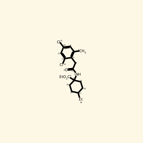 CCOC(=O)C1(NC(=O)Cc2c(C)cc(Cl)cc2Cl)CCC(CC)CC1